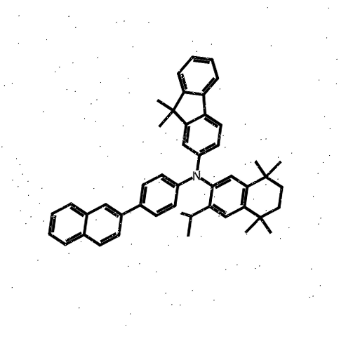 CC(C)c1cc2c(cc1N(c1ccc(-c3ccc4ccccc4c3)cc1)c1ccc3c(c1)C(C)(C)c1ccccc1-3)C(C)(C)CCC2(C)C